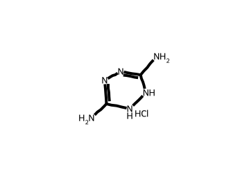 Cl.NC1=NN=C(N)NN1